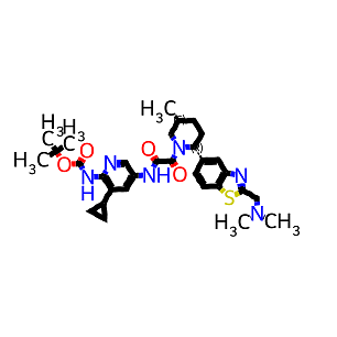 C[C@H]1CC[C@H](c2ccc3sc(CN(C)C)nc3c2)N(C(=O)C(=O)Nc2cnc(NC(=O)OC(C)(C)C)c(C3CC3)c2)C1